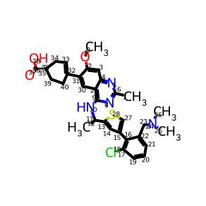 COc1cc2nc(C)nc(NC(C)c3cc(-c4c(Cl)cccc4CN(C)C)cs3)c2cc1C1=CC[C@H](C(=O)O)CC1